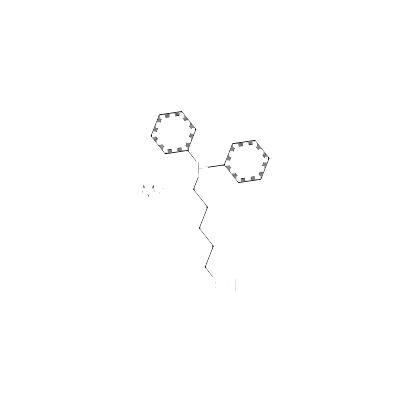 CCCCCCP(c1ccccc1)c1ccccc1.[Mo]